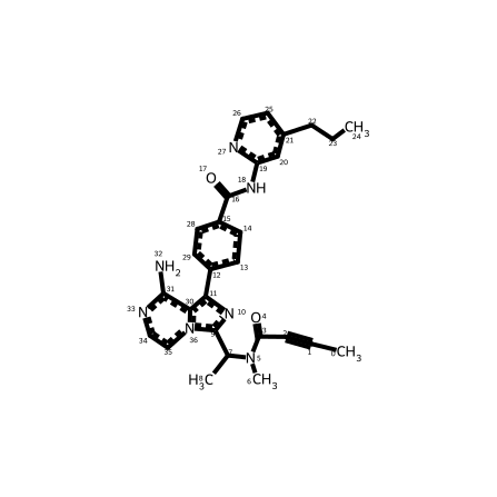 CC#CC(=O)N(C)C(C)c1nc(-c2ccc(C(=O)Nc3cc(CCC)ccn3)cc2)c2c(N)nccn12